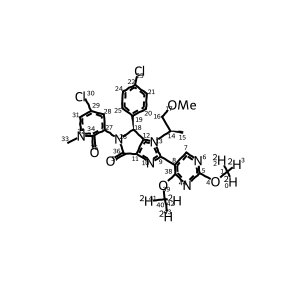 [2H]C([2H])([2H])Oc1ncc(-c2nc3c(n2[C@H](C)COC)[C@H](c2ccc(Cl)cc2)N(c2cc(Cl)cn(C)c2=O)C3=O)c(OC([2H])([2H])[2H])n1